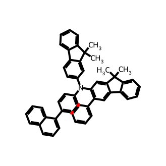 CC1(C)c2ccccc2-c2ccc(N(c3ccc(-c4cccc5ccccc45)cc3)c3cc4c(cc3-c3ccccc3)-c3ccccc3C4(C)C)cc21